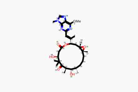 COc1nc(/C=C(\C)[C@@H]2C[C@@H]3O[C@]3(C)CCC[C@H](C)[C@H](O)[C@@H](C)C(=O)C(C)(C)[C@@H](O)CC(=O)O2)nc2c1ncn2C